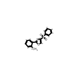 Cc1ccccc1-c1nc(S(=O)(=O)c2ccccc2)[c]o1